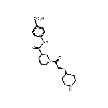 O=C(O)c1ccc(NC(=O)C2CCCN(C(=O)CCC3CCNCC3)C2)cc1